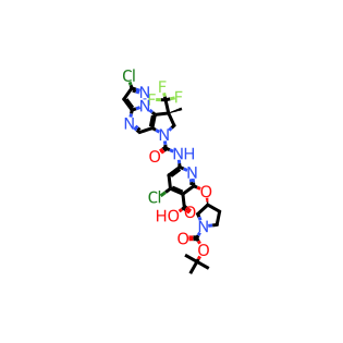 CC(C)(C)OC(=O)N1CC[C@H](Oc2nc(NC(=O)N3C[C@@](C)(C(F)(F)F)c4c3cnc3cc(Cl)nn43)cc(Cl)c2C(=O)O)C1